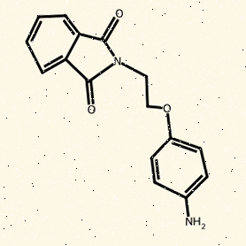 Nc1ccc(OCCN2C(=O)c3ccccc3C2=O)cc1